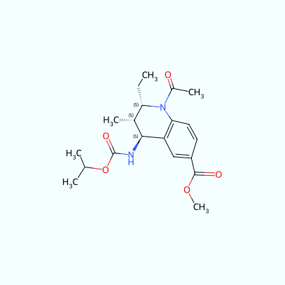 CC[C@H]1[C@@H](C)[C@H](NC(=O)OC(C)C)c2cc(C(=O)OC)ccc2N1C(C)=O